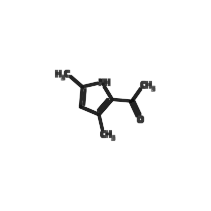 CC(=O)c1[nH]c(C)cc1C